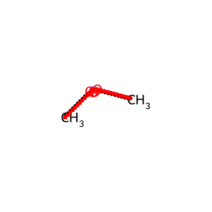 CCCCCCCCCCCCCCCCCCCCCOC(=O)/C=C\C(=O)OCCCCCCCCCCCCCCCCCCCCC